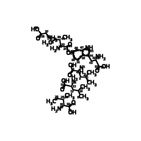 CC(C)C[C@H](N)C(=O)O.CC(C)C[C@H](N)C(=O)O.CC[C@H](C)[C@H](N)C(=O)O.CC[C@H](C)[C@H](N)C(=O)O.NCC(=O)O.N[C@@H](Cc1c[nH]c2ccccc12)C(=O)O